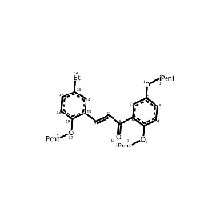 CCCC(C)Oc1ccc(OC(C)CCC)c(C(=O)C=Cc2cc(CC)ccc2OC(C)CCC)c1